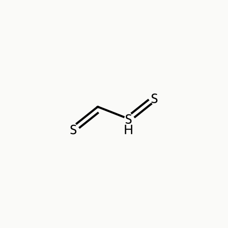 S=C[SH]=S